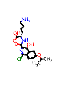 CC(C)Oc1ccc2c(Cl)nc(C(=O)N[C@@H](CCCCN)C(=O)O)c(O)c2c1